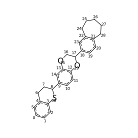 c1ccc2c(c1)CCC(c1ccc3c(c1)OCC(c1ccc4c(c1)CCCCC4)O3)S2